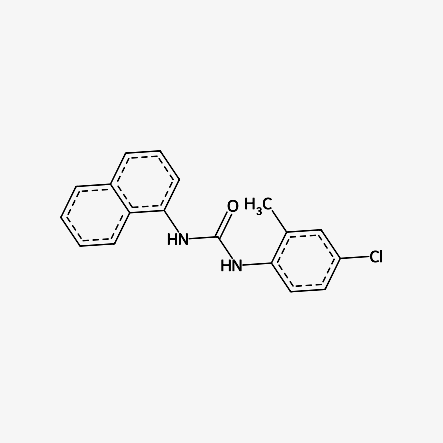 Cc1cc(Cl)ccc1NC(=O)Nc1cccc2ccccc12